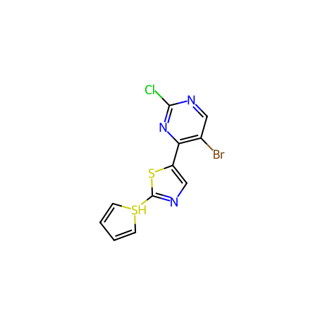 Clc1ncc(Br)c(-c2cnc([SH]3C=CC=C3)s2)n1